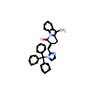 Cc1c2n(c3ccccc13)C(=O)C(=Cc1nccn1C(c1ccccc1)(c1ccccc1)c1ccccc1)CC2